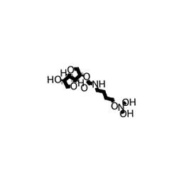 O=C(NCCCCON(O)O)O[C@@H]1CO[C@H]2[C@@H]1OC[C@H]2O